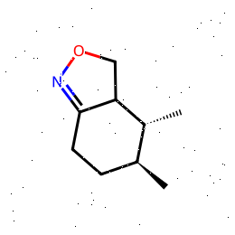 C[C@H]1CCC2=NOCC2[C@@H]1C